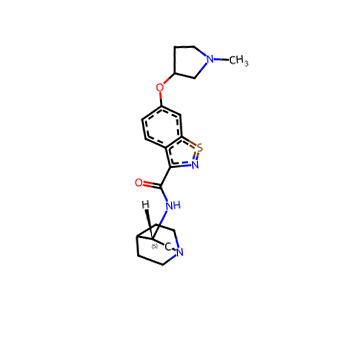 CN1CCC(Oc2ccc3c(C(=O)N[C@@H]4CN5CCC4CC5)nsc3c2)C1